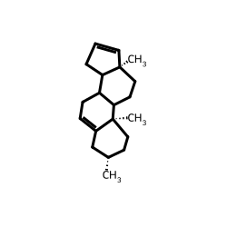 C[C@H]1CC[C@@]2(C)C(=CCC3C4CC=C[C@@]4(C)CCC32)C1